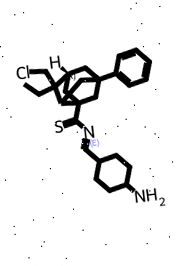 CCC1(CCl)C2CC3(c4ccccc4)C[C@@H]1CC2(C(=S)/N=C/C1CCC(N)CC1)C3